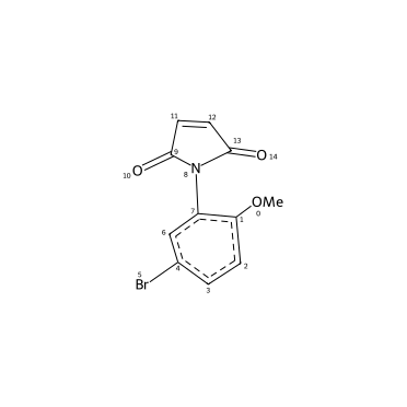 COc1ccc(Br)cc1N1C(=O)C=CC1=O